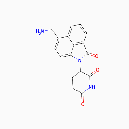 NCc1ccc2c3c(cccc13)C(=O)N2C1CCC(=O)NC1=O